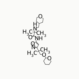 CC(C)(NCC1CCOCC1)C(=O)Nc1cc(C(C)(C)COC2CCCCO2)no1